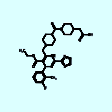 CCOC(=O)C1=C(CN2CCN(C(=O)N3CCC(CC(=O)O)CC3)CC2)NC(c2nccs2)=NC1c1cccc(F)c1C